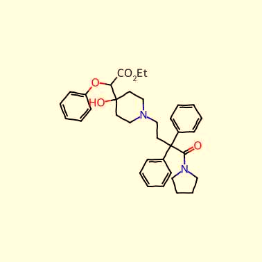 CCOC(=O)C(Oc1ccccc1)C1(O)CCN(CCC(C(=O)N2CCCC2)(c2ccccc2)c2ccccc2)CC1